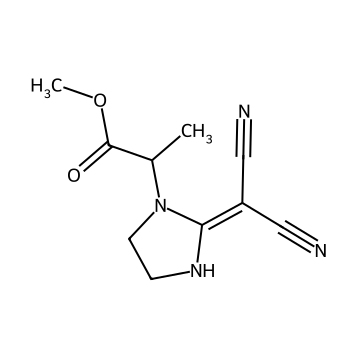 COC(=O)C(C)N1CCNC1=C(C#N)C#N